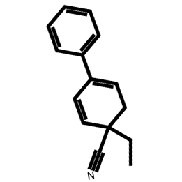 CCC1(C#N)C=CC(c2ccccc2)=CC1